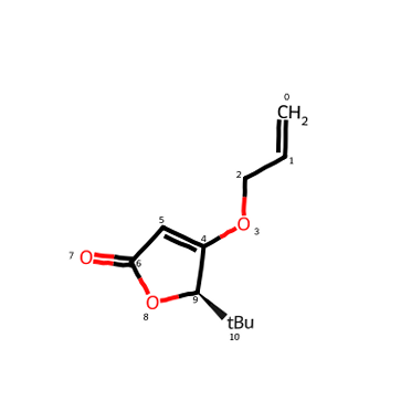 C=CCOC1=CC(=O)O[C@@H]1C(C)(C)C